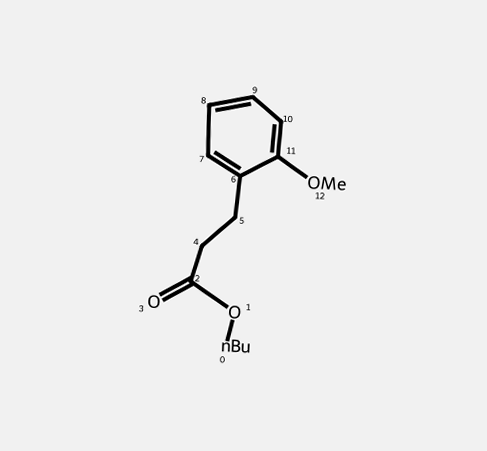 CCCCOC(=O)CCc1ccccc1OC